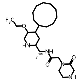 C[C@@H](NC(=O)CN1CCNCC1=O)C1CC(C2CCCCCCCCC2)C(OCC(F)(F)F)CN1